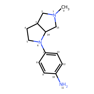 CN1CC2CCN(c3ccc(N)cc3)C2C1